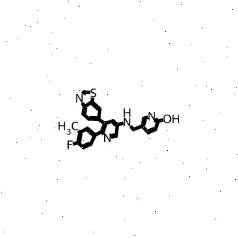 Cc1cc(-c2ncc(NCc3ccc(O)nc3)cc2-c2ccc3ncsc3c2)ccc1F